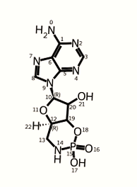 Nc1ncnc2c1ncn2[C@@H]1O[C@@H]2CNP(=O)(O)OC2C1O